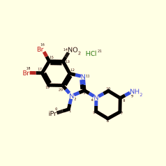 CC(C)Cn1c(N2CCCC(N)C2)nc2c([N+](=O)[O-])c(Br)c(Br)cc21.Cl